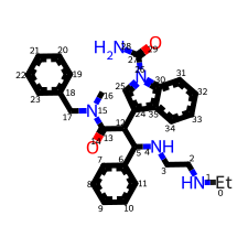 CCNCCNC(c1ccccc1)C(C(=O)N(C)Cc1ccccc1)c1cn(C(N)=O)c2ccccc12